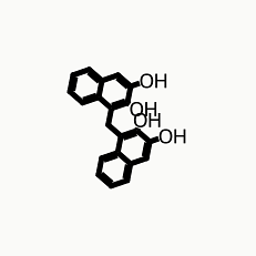 Oc1cc2ccccc2c(Cc2c(O)c(O)cc3ccccc23)c1O